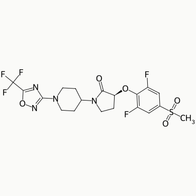 CS(=O)(=O)c1cc(F)c(O[C@H]2CCN(C3CCN(c4noc(C(F)(F)F)n4)CC3)C2=O)c(F)c1